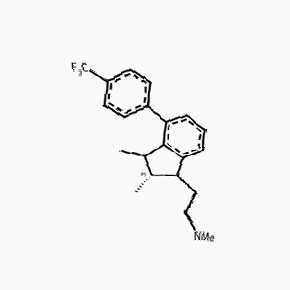 CNCCC1c2cccc(-c3ccc(C(F)(F)F)cc3)c2C(C)[C@H]1C